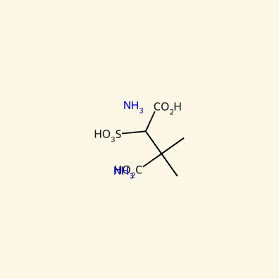 CC(C)(C(=O)O)C(C(=O)O)S(=O)(=O)O.N.N